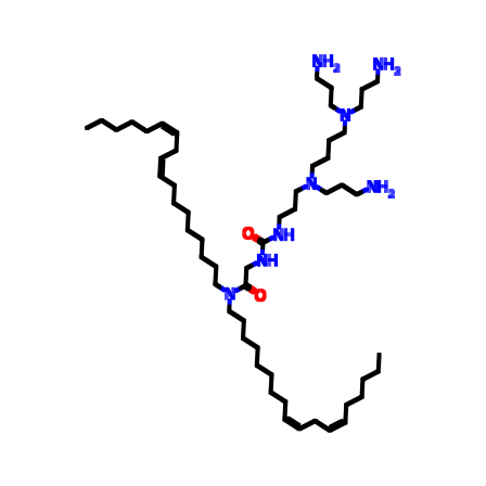 CCCCC/C=C\C/C=C\CCCCCCCCN(CCCCCCCC/C=C\C/C=C\CCCCC)C(=O)CNC(=O)NCCCN(CCCN)CCCCN(CCCN)CCCN